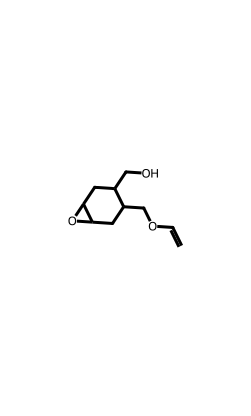 C=COCC1CC2OC2CC1CO